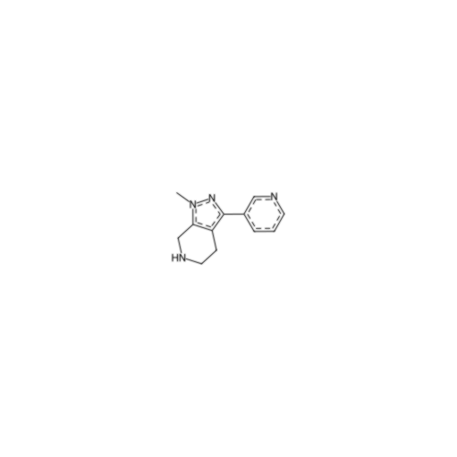 Cn1nc(-c2cccnc2)c2c1CNCC2